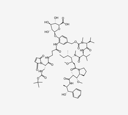 CC[C@H](C)[C@@H]([C@@H](CC(=O)N1CCC[C@H]1[C@H](OC)[C@@H](C)C(=O)N[C@H](C)[C@@H](O)c1ccccc1)OC)N(C)C(=O)[C@@H](NC(=O)[C@H](C(C)C)N(C)C(=O)OCc1ccc(O[C@@H]2O[C@H](C(=O)O)[C@@H](O)[C@H](O)[C@H]2O)c(NC(=O)CCNC(=O)[C@H](CNC(=O)OC(C)(C)C)N2C(=O)C=CC2=O)c1)C(C)C